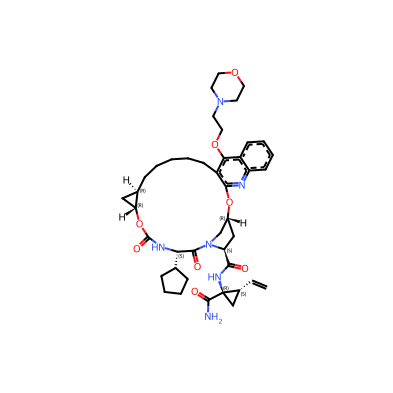 C=C[C@@H]1C[C@]1(NC(=O)[C@@H]1C[C@@H]2CN1C(=O)[C@H](C1CCCC1)NC(=O)O[C@@H]1C[C@H]1CCCCCc1c(nc3ccccc3c1OCCN1CCOCC1)O2)C(N)=O